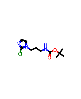 CC(C)(C)OC(=O)NCCCn1ccnc1Cl